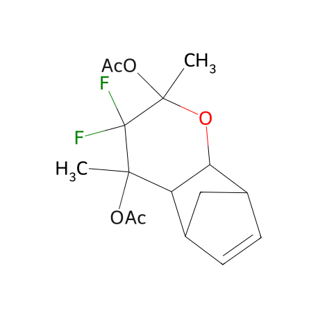 CC(=O)OC1(C)OC2C3C=CC(C3)C2C(C)(OC(C)=O)C1(F)F